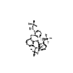 FC(F)(F)Nc1ccccc1Oc1cccc(C(C(F)(F)F)C(F)(F)F)c1Oc1ccccc1NC(F)(F)F